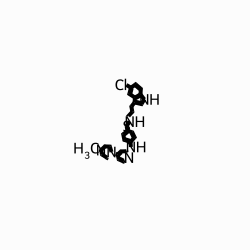 CN1CCN(c2ccnc(Nc3ccc(SNCCCc4c[nH]c5ccc(Cl)cc45)cc3)c2)CC1